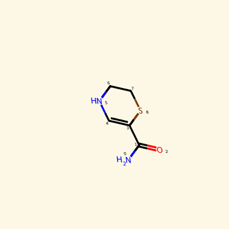 NC(=O)C1=CNCCS1